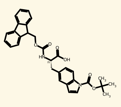 CC(C)(C)OC(=O)n1ccc2cc(C[C@H](NC(=O)OCC3c4ccccc4-c4ccccc43)C(=O)O)ccc21